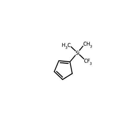 C[Si](C)(C1=CC=CC1)C(F)(F)F